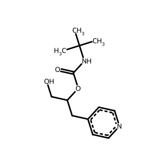 CC(C)(C)NC(=O)OC(CO)Cc1ccncc1